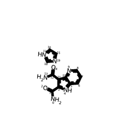 NC(=O)c1[nH]c2cccnc2c1C(N)=O.c1c[nH]cn1